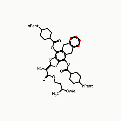 CCCCCC1CCC(C(=O)Oc2c3c(c(OC(=O)C4CCC(CCCCC)CC4)c4c2C2c5ccccc5C4c4ccccc42)SC(=C(C#N)C(=O)OCCC(C)OC)S3)CC1